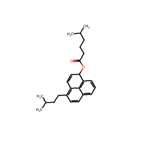 CC(C)CCCC(=O)OC1C=Cc2c(CCC(C)C)ccc3cccc1c23